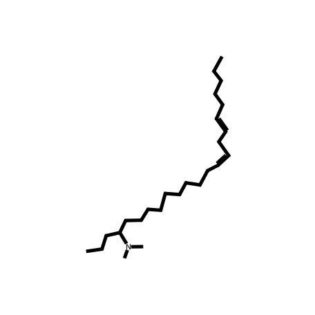 CCCCCC=CC/C=C\CCCCCCCCCC(CCC)N(C)C